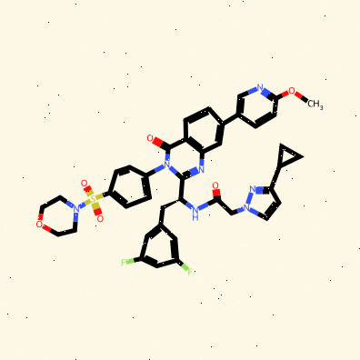 COc1ccc(-c2ccc3c(=O)n(-c4ccc(S(=O)(=O)N5CCOCC5)cc4)c([C@H](Cc4cc(F)cc(F)c4)NC(=O)Cn4ccc(C5CC5)n4)nc3c2)cn1